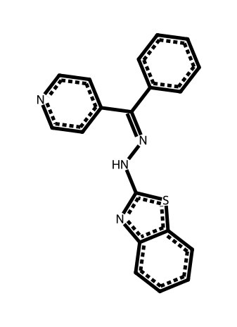 c1ccc(/C(=N/Nc2nc3ccccc3s2)c2ccncc2)cc1